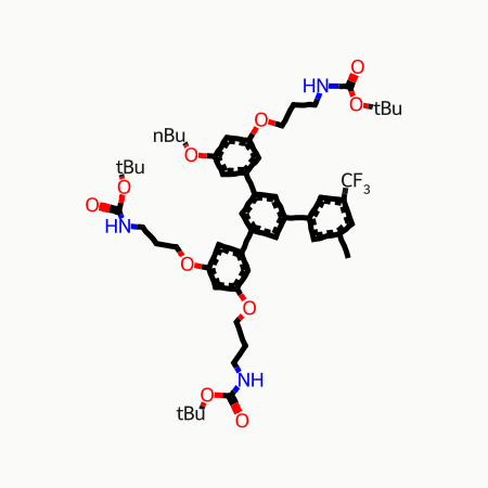 CCCCOc1cc(OCCCNC(=O)OC(C)(C)C)cc(-c2cc(-c3cc(OCCCNC(=O)OC(C)(C)C)cc(OCCCNC(=O)OC(C)(C)C)c3)cc(-c3cc(C)cc(C(F)(F)F)c3)c2)c1